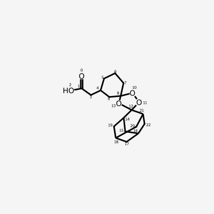 O=C(O)CC1CCCC2(C1)OOC1(O2)C2CC3CC(C2)CC1C3